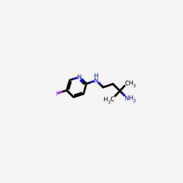 CC(C)(N)CCNc1ccc(I)cn1